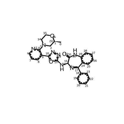 C[C@H]1CN(c2ncccc2-c2nnc(NC3N=C(c4ccccc4)c4ccccc4NC3=O)o2)CCO1